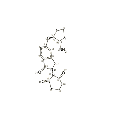 N[C@H]1CCC[C@@H]1Oc1ccc2c(c1)CN(N1C(=O)CCCC1=O)C2=O